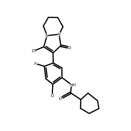 O=C(Nc1cc(-c2c(Cl)n3n(c2=O)CCCC3)c(F)cc1Cl)C1CCCCC1